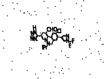 CC(C)N1Cc2cc(-c3cnn(C(F)F)c3)c(Cl)cc2C2=C(C=O)CC(c3nnn[nH]3)=CN21